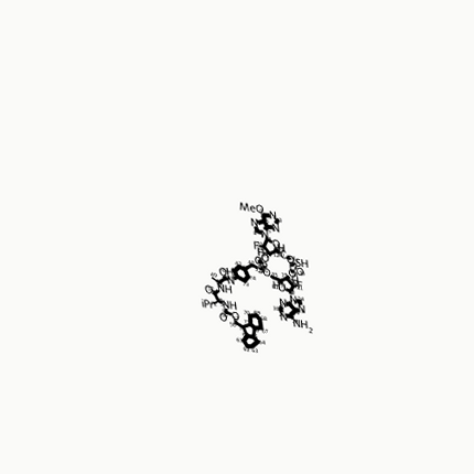 COc1ncnc2c1ncn2[C@@H]1O[C@@H]2COP(=O)(S)O[C@H]3[C@@H](F)[C@H](n4cnc5c(N)ncnc54)O[C@@H]3COP(=O)(SCc3ccc(NC(=O)[C@H](C)NC(=O)[C@@H](NC(=O)OCC4c5ccccc5-c5ccccc54)C(C)C)cc3)O[C@H]2[C@H]1F